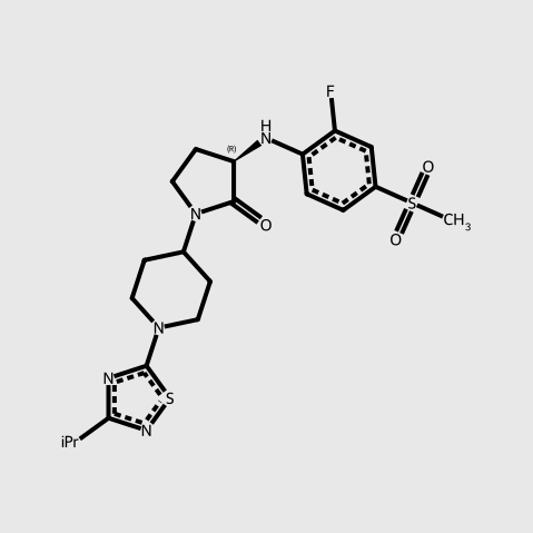 CC(C)c1nsc(N2CCC(N3CC[C@@H](Nc4ccc(S(C)(=O)=O)cc4F)C3=O)CC2)n1